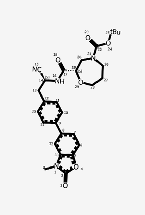 Cn1c(=O)oc2ccc(-c3ccc(C[C@@H](C#N)NC(=O)[C@@H]4CN(C(=O)OC(C)(C)C)CCCO4)cc3)cc21